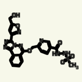 CS(=O)(=O)NNC(=O)c1ccc(COc2nn3c(-c4cc(CO)on4)nnc3c3ccccc23)nc1